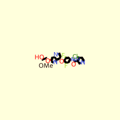 COc1nc2c(Oc3c(F)cc(NC(=O)c4cnccc4Cl)cc3F)ccnc2cc1OCCO